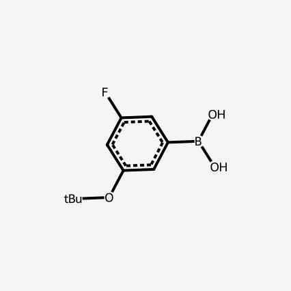 CC(C)(C)Oc1cc(F)cc(B(O)O)c1